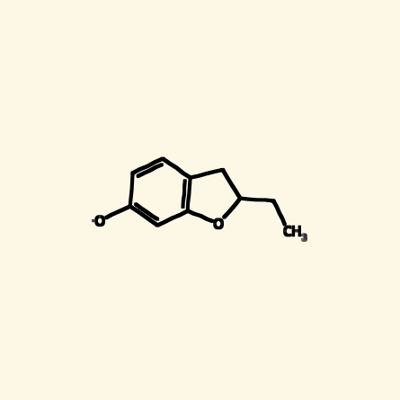 CCC1Cc2ccc([O])cc2O1